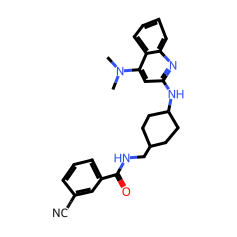 CN(C)c1cc(NC2CCC(CNC(=O)c3cccc(C#N)c3)CC2)nc2ccccc12